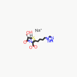 O=C([O-])C1=C(CCCCn2cnnn2)S[C@@H]2[C@@H](CO)C(=O)N12.[Na+]